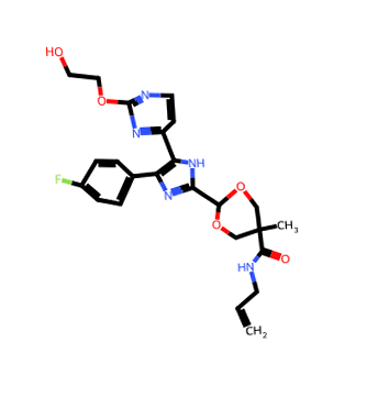 C=CCNC(=O)C1(C)COC(c2nc(-c3ccc(F)cc3)c(-c3ccnc(OCCO)n3)[nH]2)OC1